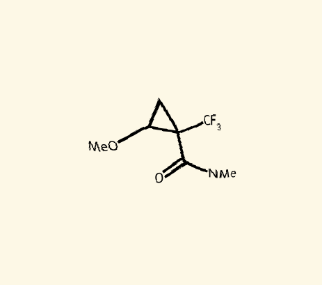 CNC(=O)C1(C(F)(F)F)CC1OC